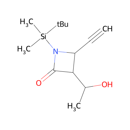 C#CC1C(C(C)O)C(=O)N1[Si](C)(C)C(C)(C)C